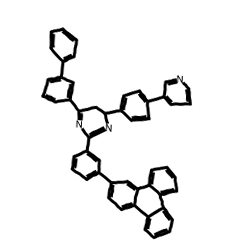 c1ccc(-c2cccc(C3=NC(c4cccc(-c5ccc6c7ccccc7c7ccccc7c6c5)c4)=NC(c4ccc(-c5cccnc5)cc4)C3)c2)cc1